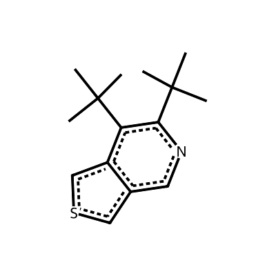 CC(C)(C)c1ncc2cscc2c1C(C)(C)C